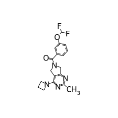 Cc1nc2c(c(N3CCC3)n1)CN(C(=O)c1cccc(OC(F)F)c1)C2